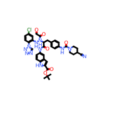 CC(C)(C)OC(=O)c1cc2cc(NC(=O)C(Cc3ccc(NC(=O)N4CCC(C#N)CC4)cc3)N(Nc3cc(Cl)ccc3-n3cnnn3)C(=O)C=O)ccc2[nH]1